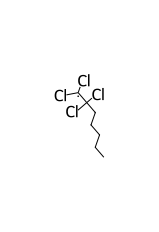 CCCCCC(Cl)(Cl)[C](Cl)Cl